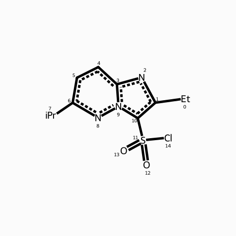 CCc1nc2ccc(C(C)C)nn2c1S(=O)(=O)Cl